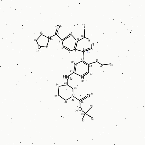 C/C=C(\c1ccc(C(=O)N2CCOC2)cc1C(C)C)c1nc(NC2CCCN(C(=O)OC(C)(C)C)C2)ncc1CCC